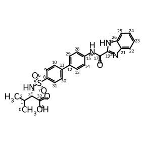 CC(C)[C@H](NS(=O)(=O)c1ccc(-c2ccc(NC(=O)c3nc4ccccc4[nH]3)cc2)cc1)C(=O)O